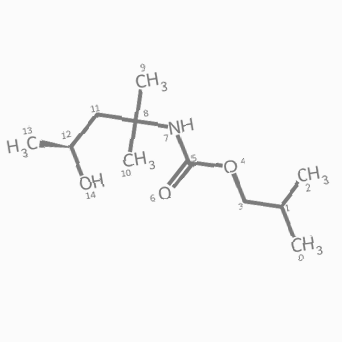 CC(C)COC(=O)NC(C)(C)C[C@H](C)O